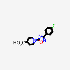 O=C(O)C1CCN(c2nc(-c3ccc(Cl)cc3)no2)CC1